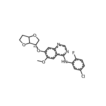 COc1cc2c(Nc3cc(Cl)ccc3F)ncnc2cc1O[C@@H]1COC2CCOC21